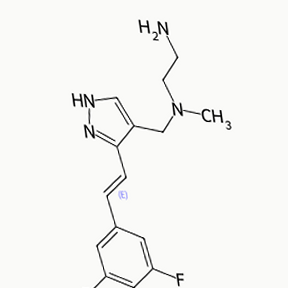 CN(CCN)Cc1c[nH]nc1/C=C/c1cc(F)cc(F)c1